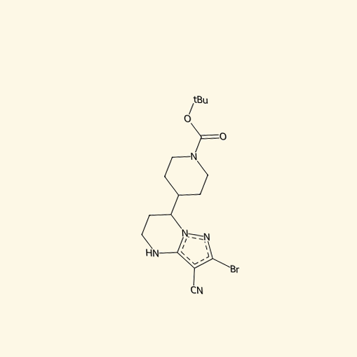 CC(C)(C)OC(=O)N1CCC(C2CCNc3c(C#N)c(Br)nn32)CC1